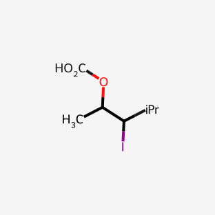 CC(C)C(I)C(C)OC(=O)O